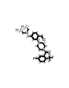 CCN(CC)Sc1ccc(C=O)c(N2CCN(C(=O)c3cc(F)ccc3C(F)(F)F)CC2)c1